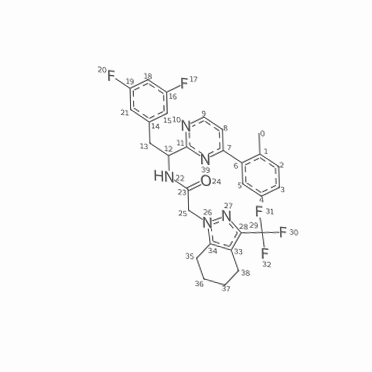 Cc1ccccc1-c1ccnc(C(Cc2cc(F)cc(F)c2)NC(=O)Cn2nc(C(F)(F)F)c3c2CCCC3)n1